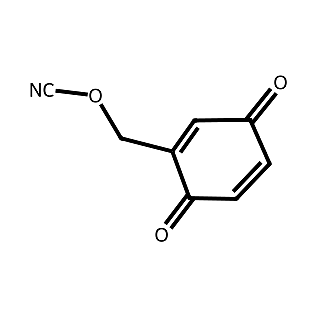 N#COCC1=CC(=O)C=CC1=O